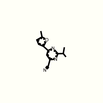 Cc1ccc(-c2cc(C#N)nc(C(C)C)n2)o1